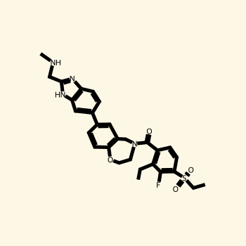 CCc1c(C(=O)N2CCOc3ccc(-c4ccc5nc(CNC)[nH]c5c4)cc3C2)ccc(S(=O)(=O)CC)c1F